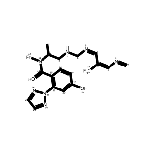 C=N/C=C(\C=N/CNCC(C)N(CC)C(=O)c1ccc(O)cc1-n1nccn1)C(F)(F)F